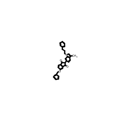 Cc1cn(CCCc2ccccc2)c2cc(C3C(=O)c4ccc(OCc5ccccc5)cc4C3=O)ccc12